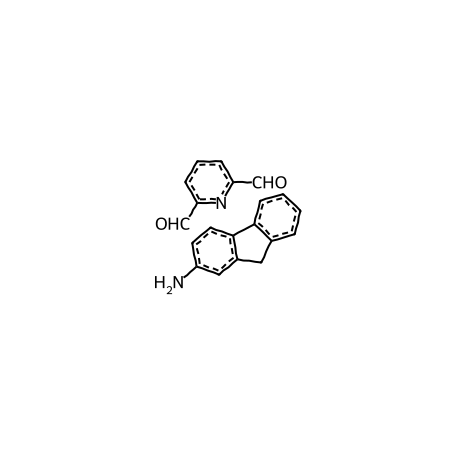 Nc1ccc2c(c1)Cc1ccccc1-2.O=Cc1cccc(C=O)n1